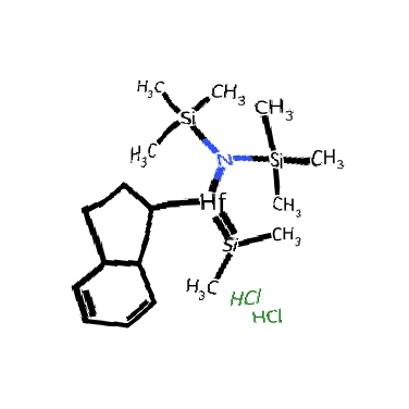 C[Si](C)=[Hf]([CH]1CCC2C=CC=CC21)[N]([Si](C)(C)C)[Si](C)(C)C.Cl.Cl